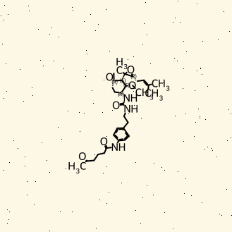 CO[C@H]1[C@H](C2(C)O[C@@H]2CC=C(C)C)[C@]2(CC[C@H]1NC(=O)NCCc1ccc(NC(=O)CCCC(C)=O)cc1)CO2